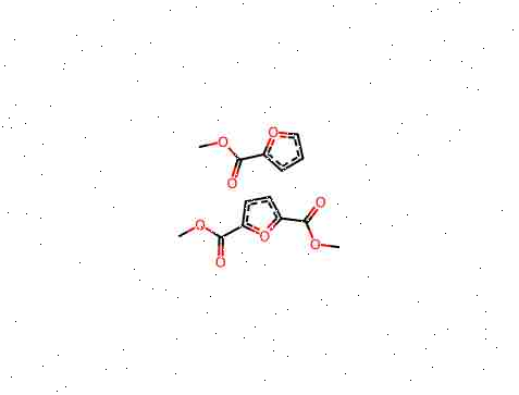 COC(=O)c1ccc(C(=O)OC)o1.COC(=O)c1ccco1